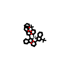 CC(C)(C)c1cc(-c2ccccc2)c(N(c2ccc3c(c2)-c2ccccc2C3(C)C)c2ccc3ccccc3c2-c2ccc(-c3ccccc3)cc2)c2ccccc12